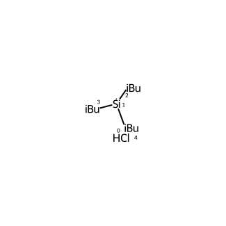 CCC(C)[Si](C(C)CC)C(C)CC.Cl